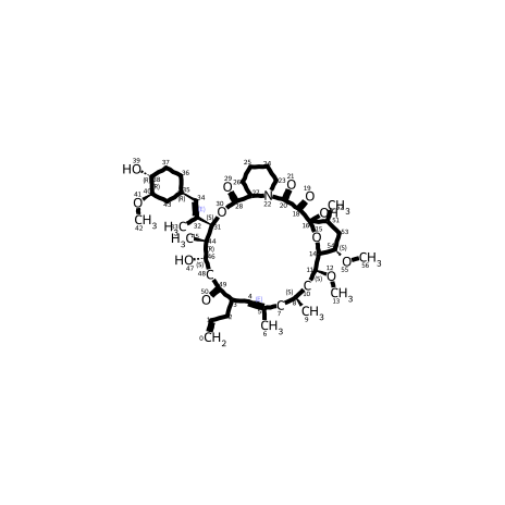 C=CCC1/C=C(\C)C[C@H](C)C[C@H](OC)C2OC(O)(C(=O)C(=O)N3CCCCC3C(=O)O[C@H](/C(C)=C/[C@@H]3CC[C@@H](O)[C@H](OC)C3)[C@H](C)[C@@H](O)CC1=O)C(C)C[C@@H]2OC